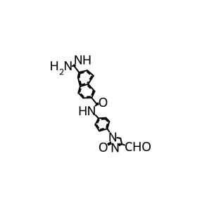 N=C(N)c1ccc2cc(C(=O)Nc3ccc(N4CC(C=O)=NC4=O)cc3)ccc2c1